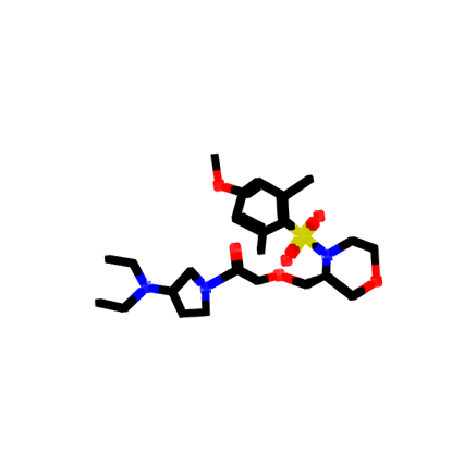 CCN(CC)C1CCN(C(=O)COC[C@@H]2COCCN2S(=O)(=O)c2c(C)cc(OC)cc2C)C1